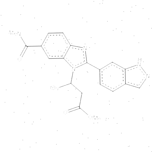 CNC(=O)c1ccc2nc(-c3ccc4cn[nH]c4c3)n(C(CC(=O)OC)C(C)(C)C)c2c1